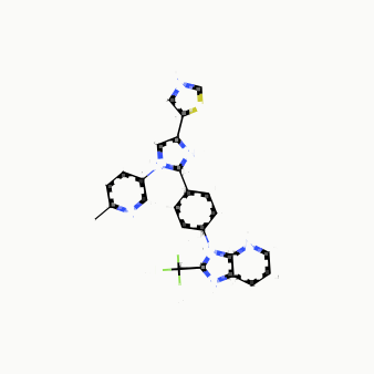 Cc1ccc(-n2cc(-c3cncs3)nc2-c2ccc(-n3c(C(F)(F)F)nc4cccnc43)cc2)cn1